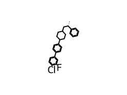 C[C@@H](CC1CCC(c2ccc(-c3ccc(Cl)c(F)c3)cc2)CC1)c1ccccc1